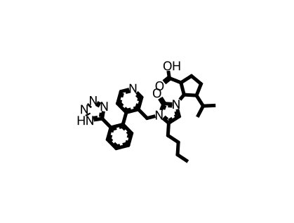 CCCCc1cn(C2C(C(=O)O)CCC2C(C)C)c(=O)n1Cc1cnccc1-c1ccccc1-c1nnn[nH]1